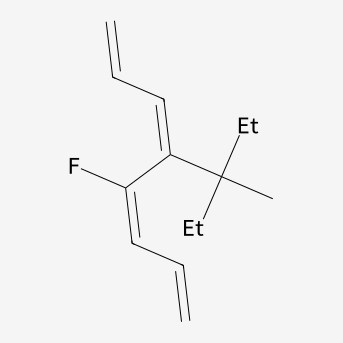 C=C/C=C(\C(F)=C/C=C)C(C)(CC)CC